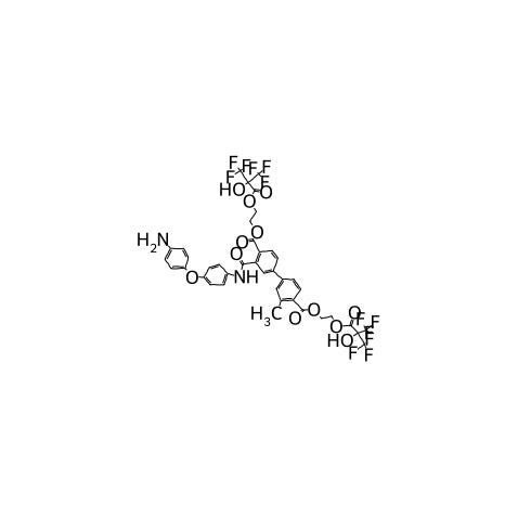 Cc1cc(-c2ccc(C(=O)OCCOC(=O)C(O)(C(F)(F)F)C(F)(F)F)c(C(=O)Nc3ccc(Oc4ccc(N)cc4)cc3)c2)ccc1C(=O)OCCOC(=O)C(O)(C(F)(F)F)C(F)(F)F